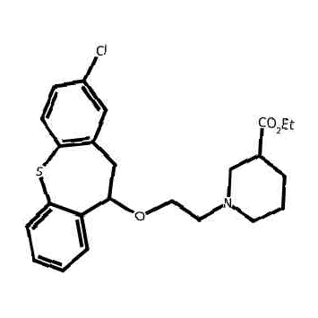 CCOC(=O)C1CCCN(CCOC2Cc3cc(Cl)ccc3Sc3ccccc32)C1